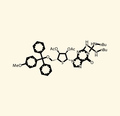 CCCCNC1(NCCCC)Nc2nc3c(ncn3[C@@H]3S[C@H](COC(c4ccccc4)(c4ccccc4)c4ccc(OC)cc4)[C@@H](OC(C)=O)[C@H]3OC(C)=O)c(=O)n21